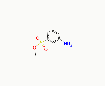 COS(=O)(=O)c1cc[c]c(N)c1